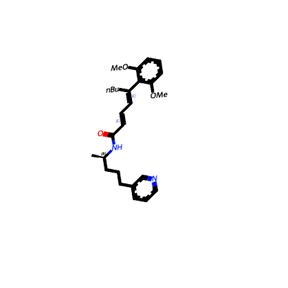 CCCC/C(=C\C=C\C(=O)N[C@H](C)CCCc1cccnc1)c1c(OC)cccc1OC